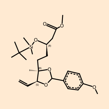 C=C[C@@H]1OC(c2ccc(OC)cc2)O[C@]1(C)CC[C@H](CC(=O)OC)O[Si](C)(C)C(C)(C)C